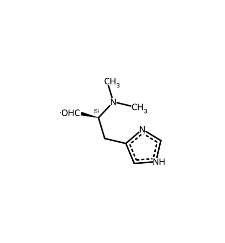 CN(C)[C@H]([C]=O)Cc1c[nH]cn1